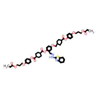 C=CC(=O)OCCCOc1ccc(OC(=O)C2CCC(COc3ccc(OC(=O)C4CCC(C(=O)Oc5ccc(OCCCOC(=O)C=C)cc5)CC4)c(/C=N/Nc4nc5ccccc5s4)c3)CC2)cc1